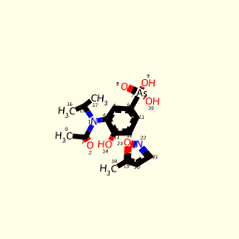 CC(=O)N(c1cc([As](=O)(O)O)ccc1O)C(C)C.Cc1ccno1